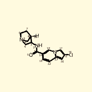 O=C(NC1CN2CC[C@H]1C2)c1ccc2cc(Cl)cn2c1